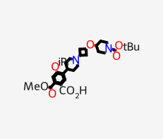 COC(=O)c1cc(OC(C)C)c(C2CCN(C3CC(OC4CCN(C(=O)OC(C)(C)C)CC4)C3)CC2)cc1C(=O)O